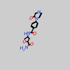 NC(=O)C1[CH]C(NC(=O)c2ccc(-n3ccncc3=O)cc2)CO1